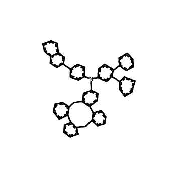 c1ccc(-c2ccc(N(c3ccc(-c4ccc5ccccc5c4)cc3)c3ccc4c(c3)Cc3ccccc3-c3ccccc3Cc3ccccc3-4)cc2-c2ccccc2)cc1